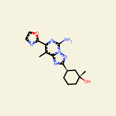 Cc1c(-c2ncco2)nc(N)n2nc([C@@H]3CCC[C@@](C)(O)C3)nc12